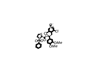 COc1ccc([C@H](Cc2c(Cl)c[n+]([O-])cc2Cl)OC(=O)[C@@H]2SCCN2S(=O)(=O)c2ccccc2)cc1OC